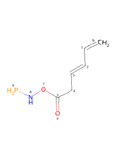 C=C/C=C/CC(=O)ONP